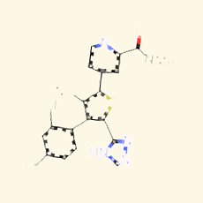 CNC(=O)c1cc(-c2sc(-c3nnc[nH]3)c(-c3ccc(Cl)cc3Cl)c2C#N)ccn1